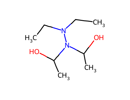 CCN(CC)N(C(C)O)C(C)O